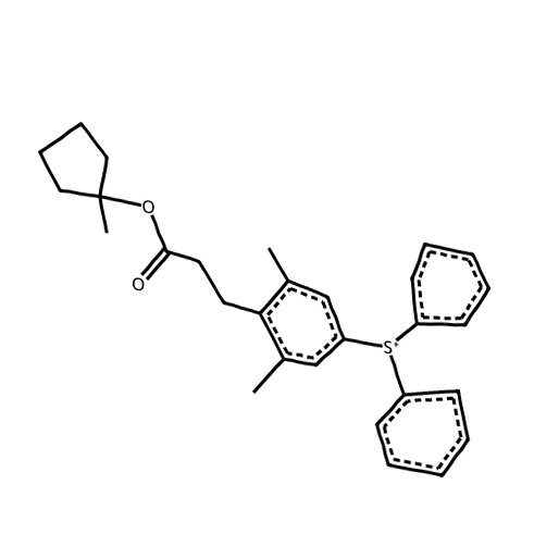 Cc1cc([S+](c2ccccc2)c2ccccc2)cc(C)c1CCC(=O)OC1(C)CCCC1